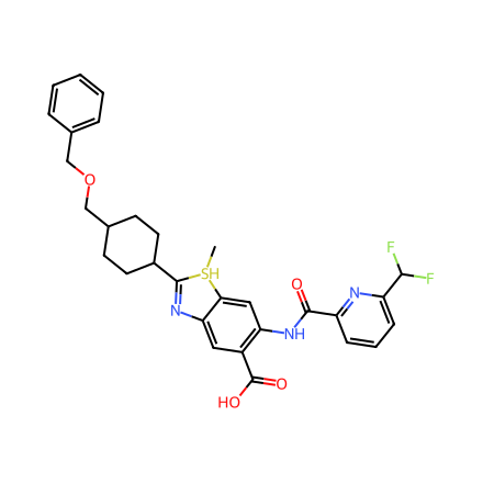 C[SH]1C(C2CCC(COCc3ccccc3)CC2)=Nc2cc(C(=O)O)c(NC(=O)c3cccc(C(F)F)n3)cc21